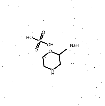 CC1CNCCO1.O=S(=O)(O)O.[NaH]